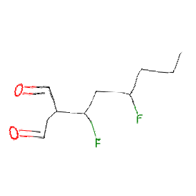 CCCC(F)CC(F)C(C=O)C=O